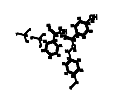 CC(C)C.CC(C)C.CCc1ccc(COC(=S)c2ccc(O)cc2)cc1.OC(=S)c1ccccc1